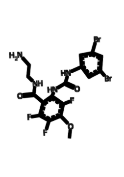 COc1c(F)c(F)c(C(=O)NCCN)c(NC(=O)Nc2cc(Br)cc(Br)c2)c1F